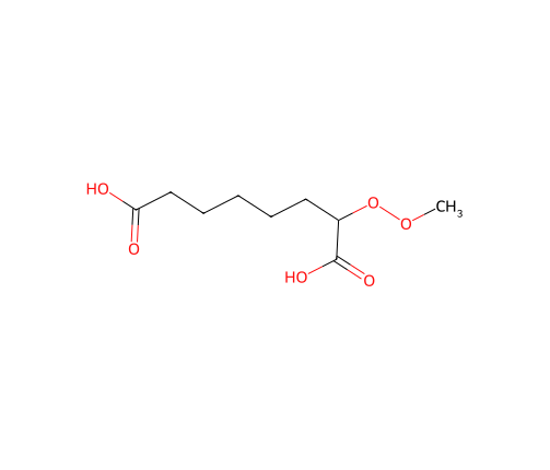 COOC(CCCCCC(=O)O)C(=O)O